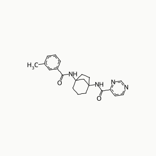 Cc1cccc(C(=O)NC23CCCC(NC(=O)c4ccncn4)(CC2)C3)c1